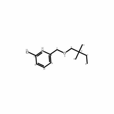 CCC(C)(C)COCc1cccc(Cl)n1